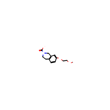 COCCOc1ccc2c(c1)CN(C(=O)O)CC2